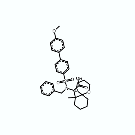 COc1ccc(-c2ccc(S(=O)(=O)N(Cc3ccccc3)C(C(=O)O)C3(C)CCCCC34OCCCO4)cc2)cc1